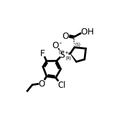 CCOc1cc(F)c([S@+]([O-])[C@@H]2CCC[C@H]2C(=O)O)cc1Cl